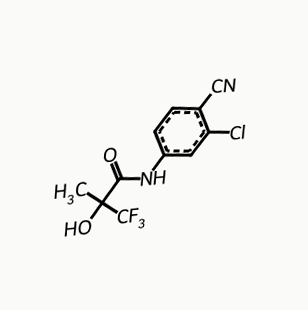 CC(O)(C(=O)Nc1ccc(C#N)c(Cl)c1)C(F)(F)F